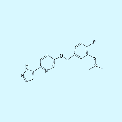 CN(C)Sc1cc(COc2ccc(-c3ccn[nH]3)nc2)ccc1F